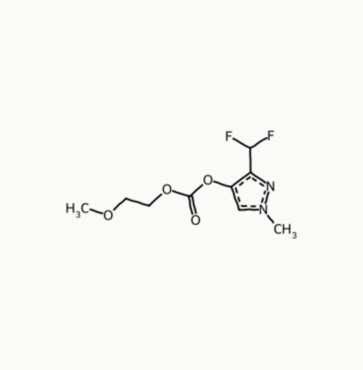 COCCOC(=O)Oc1cn(C)nc1C(F)F